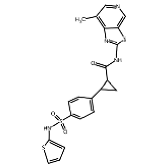 Cc1cncc2sc(NC(=O)C3CC3c3ccc(S(=O)(=O)Nc4cccs4)cc3)nc12